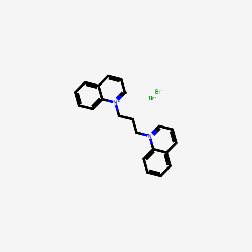 [Br-].[Br-].c1ccc2c(c1)ccc[n+]2CCC[n+]1cccc2ccccc21